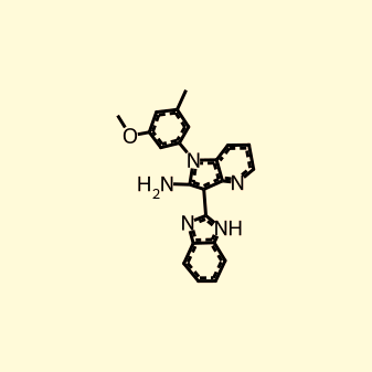 COc1cc(C)cc(-n2c(N)c(-c3nc4ccccc4[nH]3)c3ncccc32)c1